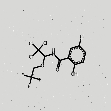 O=C(NC(OCC(F)(F)F)C(Cl)(Cl)Cl)c1cc(Cl)ccc1O